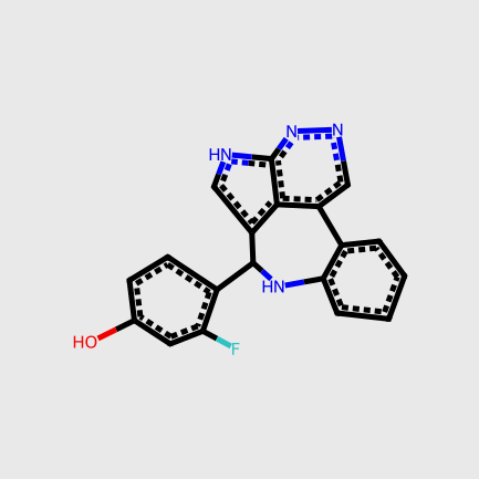 Oc1ccc(C2Nc3ccccc3-c3cnnc4[nH]cc2c34)c(F)c1